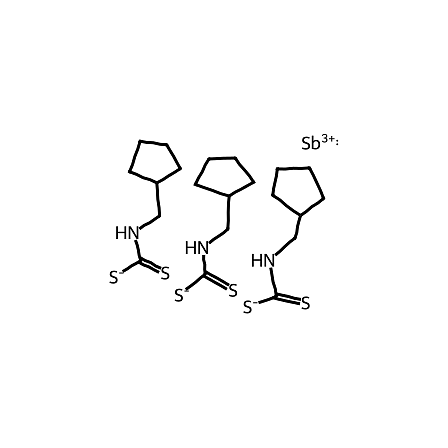 S=C([S-])NCC1CCCC1.S=C([S-])NCC1CCCC1.S=C([S-])NCC1CCCC1.[Sb+3]